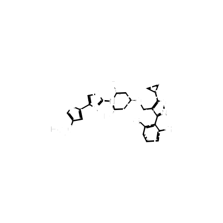 CC[C@H]1C[C@@H](OCc2c(-c3c(Cl)cccc3Cl)noc2C2CC2)C[C@@H](C)N1c1nc(-c2cc(C(=O)O)cs2)cs1